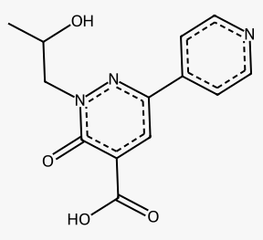 CC(O)Cn1nc(-c2ccncc2)cc(C(=O)O)c1=O